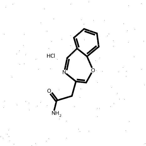 Cl.NC(=O)CC1=COc2ccccc2C=N1